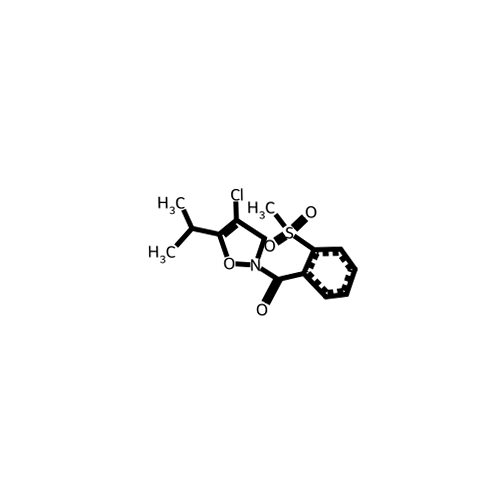 CC(C)C1=C(Cl)CN(C(=O)c2ccccc2S(C)(=O)=O)O1